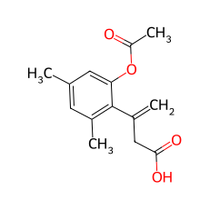 C=C(CC(=O)O)c1c(C)cc(C)cc1OC(C)=O